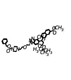 COC(=O)c1ccc2ccc(C(CC(=O)OC(C)(C)C)c3ccc4c(nnn4CCOCCN4CCN(C(=O)OCc5ccccc5)CC4)c3C)cc2c1